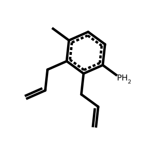 C=CCc1c(C)ccc(P)c1CC=C